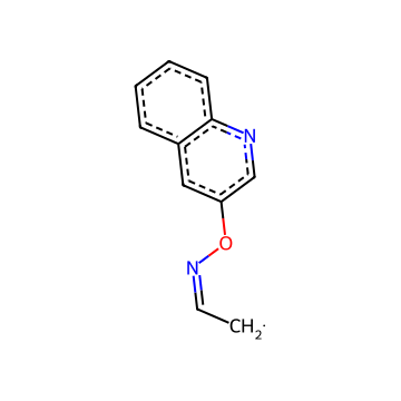 [CH2]/C=N\Oc1cnc2ccccc2c1